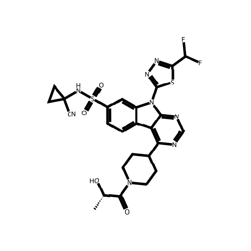 C[C@H](O)C(=O)N1CCC(c2ncnc3c2c2ccc(S(=O)(=O)NC4(C#N)CC4)cc2n3-c2nnc(C(F)F)s2)CC1